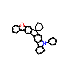 c1ccc(-n2c3ccccc3c3cc4c(cc32)C2(CCCCC2)c2cc3oc5ccccc5c3cc2-4)cc1